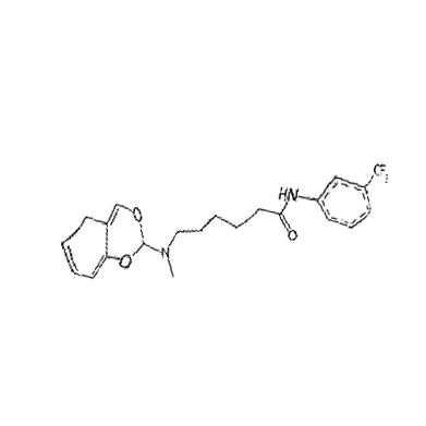 CN(CCCCCC(=O)Nc1cccc(C(F)(F)F)c1)C1OC=C2CC=CC=C2O1